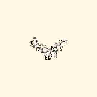 CCOc1ccc2[nH]c(C(OCC)c3ccc(C(=O)Cc4ccccc4)cc3)nc2c1